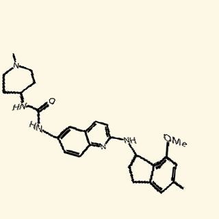 COc1cc(C)cc2c1C(Nc1ccc3cc(NC(=O)NC4CCN(C)CC4)ccc3n1)CC2